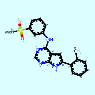 CNS(=O)(=O)c1cccc(Nc2ncnc3[nH]c(-c4ccccc4C)cc23)c1